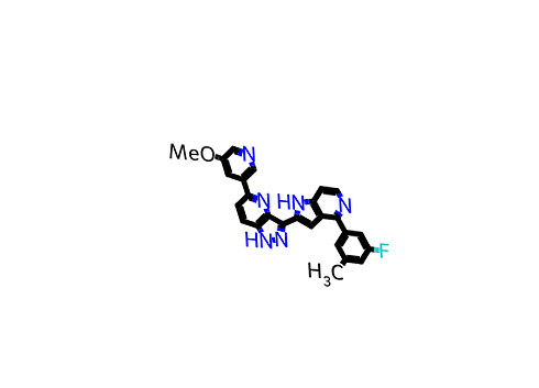 COc1cncc(-c2ccc3[nH]nc(-c4cc5c(-c6cc(C)cc(F)c6)nccc5[nH]4)c3n2)c1